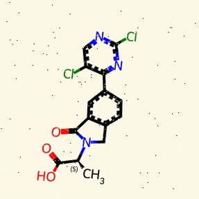 C[C@@H](C(=O)O)N1Cc2ccc(-c3nc(Cl)ncc3Cl)cc2C1=O